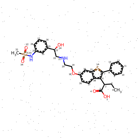 CCC(C(=O)O)c1c(-c2ccccc2)sc2cc(OCCNC[C@H](O)c3cccc(NS(C)(=O)=O)c3)ccc12